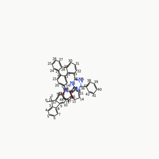 CC1(C)c2ccccc2-c2cc3c4ccccc4n(-c4ccc5c6ccccc6c6cccc(-c7nc(-c8ccccc8)nc(-c8ccccc8)n7)c6c5c4)c3cc21